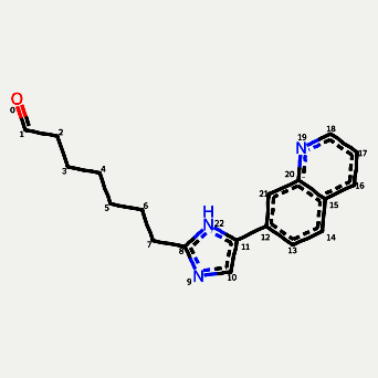 O=CCCCCCCc1ncc(-c2ccc3cccnc3c2)[nH]1